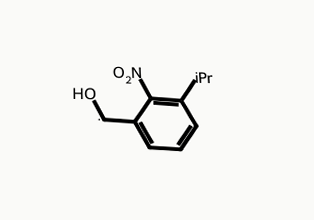 CC(C)c1cccc([CH]O)c1[N+](=O)[O-]